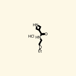 CCOCCNC(=O)C1CNC1.Cl